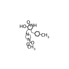 COC(=O)N1CCN(Cc2c(Cc3ccc(C)cc3)c[nH]c(=O)c2O)CC1